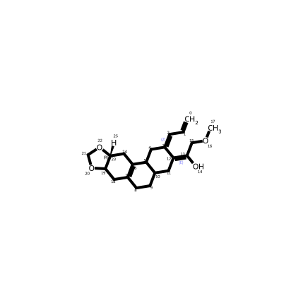 C=C/C=C1/CC2C3=C(CCC2C/C1=C(\O)COC)CC1OCO[C@@H]1C3